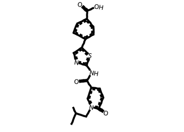 CC(C)Cn1cc(C(=O)Nc2ncc(-c3ccc(C(=O)O)cc3)s2)ccc1=O